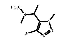 CC(c1c(Br)nnn1C)N(C)C(=O)O